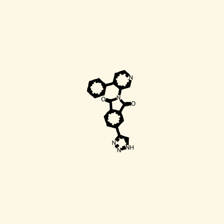 O=C1c2ccc(-c3c[nH]nn3)cc2C(=O)N1c1cnccc1-c1ccccc1